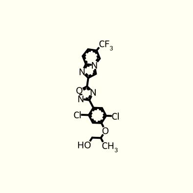 CC(CO)Oc1cc(Cl)c(-c2noc(-c3cn4cc(C(F)(F)F)ccc4n3)n2)cc1Cl